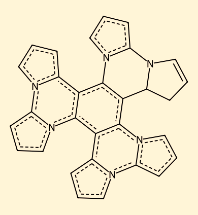 C1=CN2c3cccn3-c3c(c4c(c5cccn5c5cccn45)c4c3c3cccn3c3cccn43)C2C1